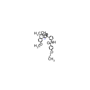 CCCCOc1ccc(C(=O)Nc2cccc(C(=O)/C=C3\NC(C)(C)Cc4ccc(OC)cc43)c2)cc1